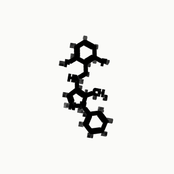 Cc1c(NCc2c(F)cccc2F)cnn1-c1ccccc1